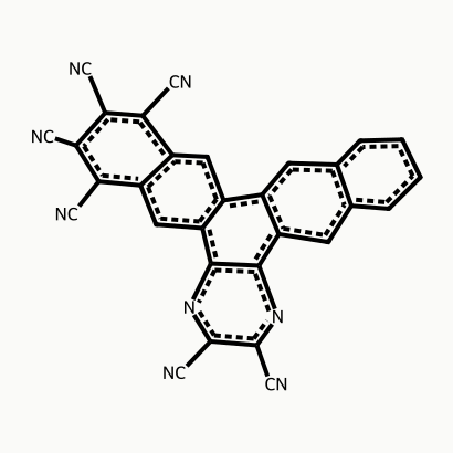 N#Cc1nc2c3cc4ccccc4cc3c3cc4c(C#N)c(C#N)c(C#N)c(C#N)c4cc3c2nc1C#N